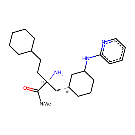 CNC(=O)[C@@](N)(CCC1CCCCC1)C[C@H]1CCCC(Nc2ccccn2)C1